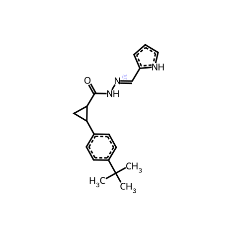 CC(C)(C)c1ccc(C2CC2C(=O)N/N=C/c2ccc[nH]2)cc1